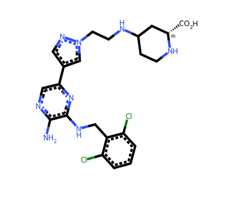 Nc1ncc(-c2cnn(CCNC3CCN[C@@H](C(=O)O)C3)c2)nc1NCc1c(Cl)cccc1Cl